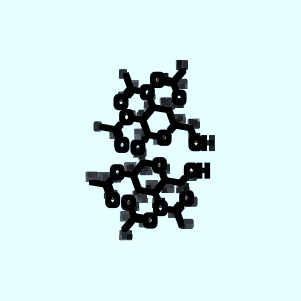 CC(=O)OC1C(OC(C)=O)[C@H](OC(C)=O)C(CO)O[C@H]1O[C@@H]1OC(CO)[C@@H](OC(C)=O)[C@H](OC(C)=O)C1OC(C)=O